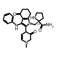 CN1C=CC(c2c(Nc3ccccc3)c3c(n2C[C@]2(C(N)=O)CCCN2)CCCC3=O)C(=O)C1